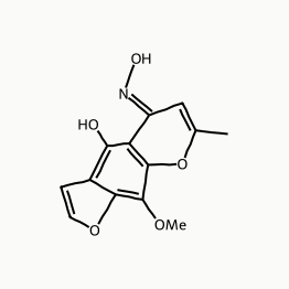 COc1c2occc2c(O)c2c(=NO)cc(C)oc12